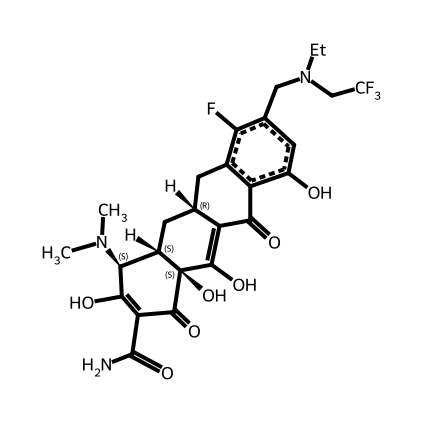 CCN(Cc1cc(O)c2c(c1F)C[C@H]1C[C@H]3[C@H](N(C)C)C(O)=C(C(N)=O)C(=O)[C@@]3(O)C(O)=C1C2=O)CC(F)(F)F